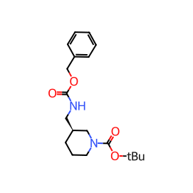 CC(C)(C)OC(=O)N1CCC[C@@H](CNC(=O)OCc2ccccc2)C1